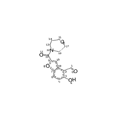 O=Cc1c(O)ccc2oc(C(=O)N3CCCOCC3)cc12